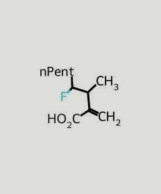 C=C(C(=O)O)C(C)C(F)CCCCC